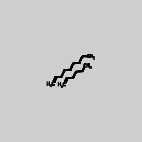 C=CCCCC.C=CCCCCCCC